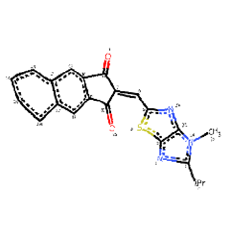 CC(C)c1nc2sc(C=C3C(=O)c4cc5ccccc5cc4C3=O)nc2n1C